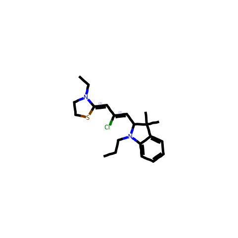 CCCN1c2ccccc2C(C)(C)C1/C=C(Cl)/C=C1\SCCN1CC